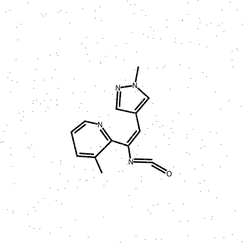 Cc1cccnc1/C(=C\c1cnn(C)c1)N=C=O